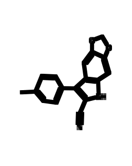 Cc1ccc(-c2c(C#N)[nH]c3cc4c(cc23)OCO4)cc1